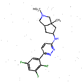 CC12CC(Nc3ccc(-c4cc(F)cc(F)c4F)nn3)CC1CN(C(=O)O)C2